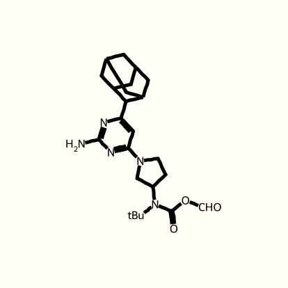 CC(C)(C)N(C(=O)OC=O)C1CCN(c2cc(C3C4CC5CC(C4)CC3C5)nc(N)n2)C1